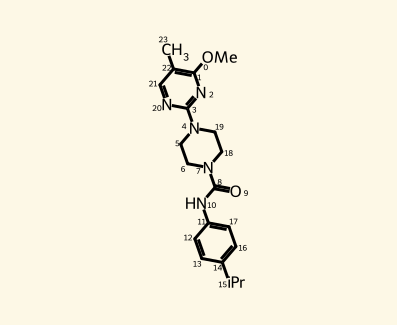 COc1nc(N2CCN(C(=O)Nc3ccc(C(C)C)cc3)CC2)ncc1C